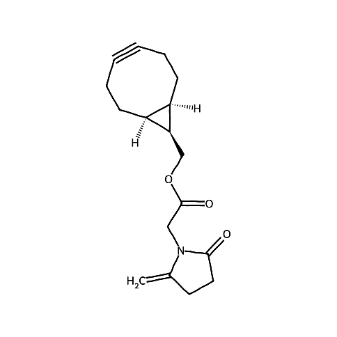 C=C1CCC(=O)N1CC(=O)OC[C@@H]1[C@@H]2CCC#CCC[C@@H]21